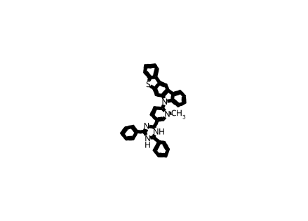 CN1C=C(C2N=C(c3ccccc3)NC(c3ccccc3)N2)C=CC1n1c2ccccc2c2cc3c(cc21)sc1ccccc13